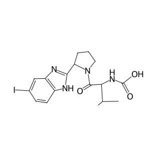 CC(C)C(NC(=O)O)C(=O)N1CCCC1c1nc2cc(I)ccc2[nH]1